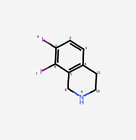 Ic1ccc2c(c1I)CNCC2